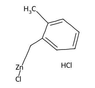 Cc1ccccc1[CH2][Zn][Cl].Cl